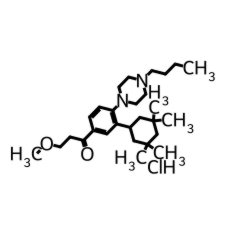 CCCCN1CCN(c2ccc(C(=O)CCOC)cc2C2CC(C)(C)CC(C)(C)C2)CC1.Cl